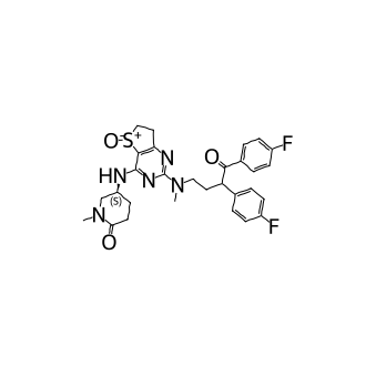 CN1C[C@@H](Nc2nc(N(C)CCC(C(=O)c3ccc(F)cc3)c3ccc(F)cc3)nc3c2[S+]([O-])CC3)CCC1=O